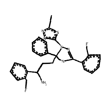 Cc1nnc(N2N=C(c3ccccc3F)SC2(CCC(N)c2ccccc2F)c2ccccc2)s1